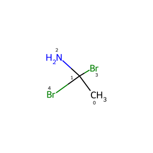 CC(N)(Br)Br